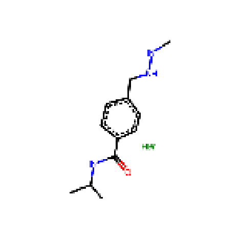 Br.CNNCc1ccc(C(=O)NC(C)C)cc1